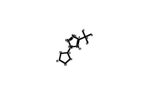 CC(C)(C)c1nnn(C2CCCC2)n1